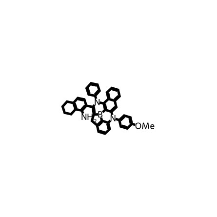 COc1ccc(N2c3cccc4c3B3C(=C(c5ccc6c(c5N)CCCC6)N(c5ccccc5)c5c3c2cc2ccccc52)C4)cc1